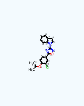 CC(C)Oc1ccc(-c2nc(-n3ccc4ccccc43)no2)cc1Cl